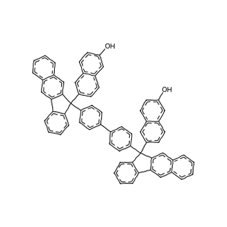 Oc1ccc2cc(C3(c4ccc(-c5ccc(C6(c7ccc8cc(O)ccc8c7)c7ccccc7-c7cc8ccccc8cc76)cc5)cc4)c4ccccc4-c4cc5ccccc5cc43)ccc2c1